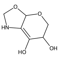 OC1=C2NCOC2OCC1O